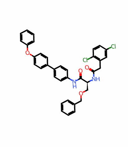 O=C(Cc1cc(Cl)ccc1Cl)N[C@@H](COCc1ccccc1)C(=O)Nc1ccc(-c2ccc(Oc3ccccc3)cc2)cc1